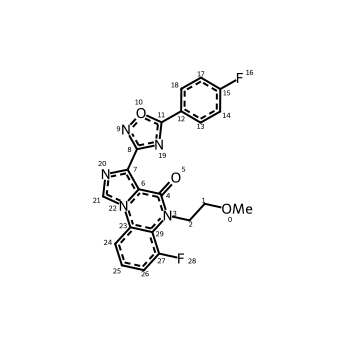 COCCn1c(=O)c2c(-c3noc(-c4ccc(F)cc4)n3)ncn2c2cccc(F)c21